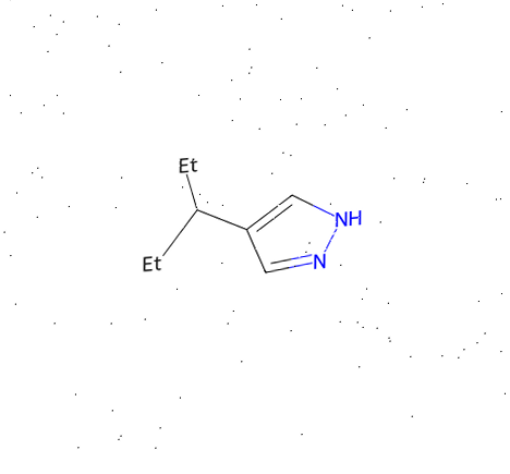 CCC(CC)c1cn[nH]c1